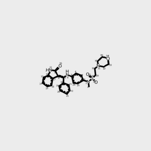 CN(c1ccc(N/C(=C2\C(=O)Nc3ccccc32)c2ccccc2)cc1)S(=O)(=O)CCN1CCOCC1